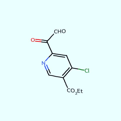 CCOC(=O)c1cnc(C(=O)C=O)cc1Cl